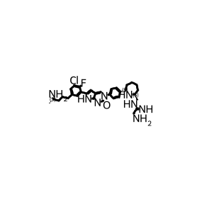 C[C@H](N)CCCc1cc(Cl)c(F)c(-c2cc3cn(-c4ccc([C@@H]5CCCC[C@@H](CNC(=N)CN)N5)cc4)c(=O)nc3[nH]2)c1